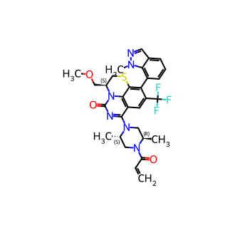 C=CC(=O)N1C[C@H](C)N(c2nc(=O)n3c4c(c(-c5cccc6cnn(C)c56)c(C(F)(F)F)cc24)SC[C@@H]3COC)C[C@H]1C